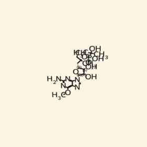 CCC(C)(C[C@H]1O[C@@H](n2cnc3c(OC)nc(N)nc32)[C@H](O)[C@@H]1O)OP(=O)(O)C(C)(C)O